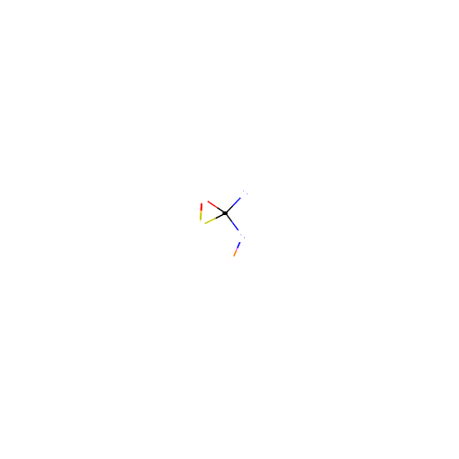 NC1(NP)OS1